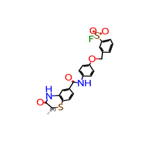 C[C@H]1Sc2ccc(C(=O)Nc3ccc(OCc4cccc(S(=O)(=O)F)c4)cc3)cc2NC1=O